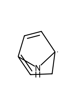 C1=CC2=CC[C]1N2